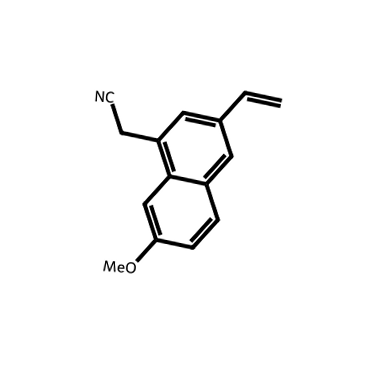 C=Cc1cc(CC#N)c2cc(OC)ccc2c1